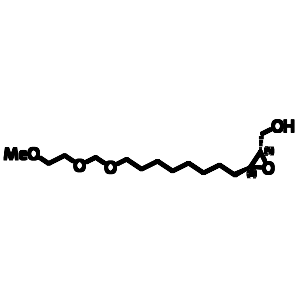 COCCOCOCCCCCCCC[C@@H]1O[C@H]1CO